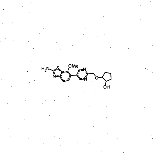 COc1c(-c2cnc(COC3CCCC3O)nc2)ccc2nc(N)sc12